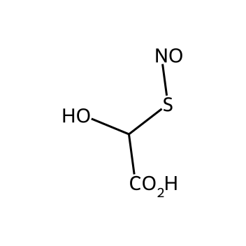 O=NSC(O)C(=O)O